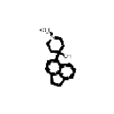 O=C(O)N1CCC(O)(c2ccc3c4c(cccc24)CC3)CC1